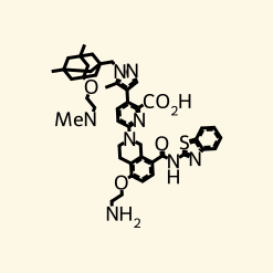 CNCCOC12CC3(C)CC(C)(CC(Cn4ncc(-c5ccc(N6CCc7c(OCCN)ccc(C(=O)Nc8nc9ccccc9s8)c7C6)nc5C(=O)O)c4C)(C3)C1)C2